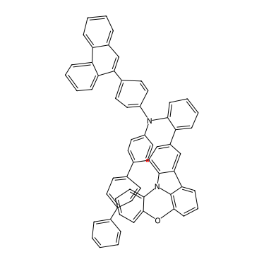 c1ccc(-c2ccc(-c3ccc(N(c4ccc(-c5cc6ccccc6c6ccccc56)cc4)c4ccccc4-c4ccc5c(c4)c4cccc6c4n5-c4ccccc4O6)cc3)cc2)cc1